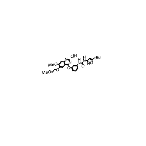 COCCOc1cc2c(Oc3cccc(NC(=O)Nc4cc(C(C)(C)C)on4)c3)ncnc2cc1OC.Cl